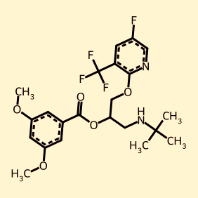 COc1cc(OC)cc(C(=O)OC(CNC(C)(C)C)COc2ncc(F)cc2C(F)(F)F)c1